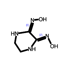 O/N=C1\NCCN\C1=N\O